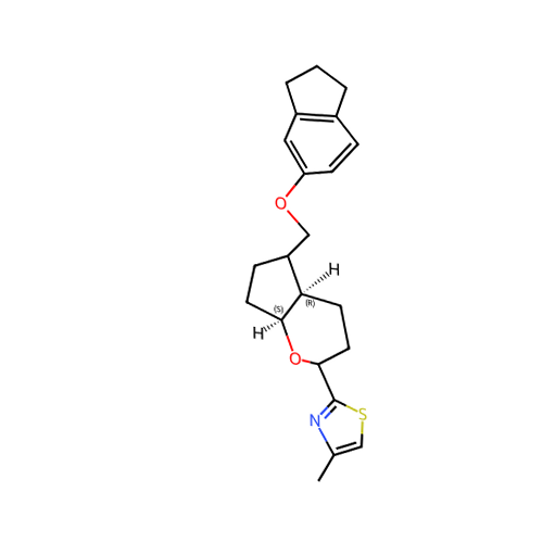 Cc1csc(C2CC[C@@H]3C(COc4ccc5c(c4)CCC5)CC[C@@H]3O2)n1